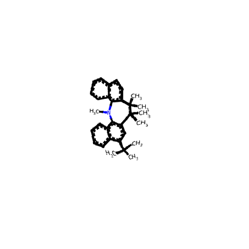 CN1c2c(ccc3ccccc23)C(C)(C)C(C)(C)c2cc(C(C)(C)C)c3ccccc3c21